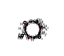 CC[C@H](C)[C@@H]1NC(=O)[C@H](CC(C)C)N(C)C(=O)C[C@@H](C)N(C)C(=O)[C@H](C2CCCCC2)N(C)C(=O)C2(CCC2)NC(=O)[C@@H]2CC(F)(F)CN2C(=O)[C@H](CCc2cc(F)c(C(F)(F)F)c(F)c2)NC(=O)CN(C)C(=O)[C@H](CC2CCCCC2)N(C)C(=O)CN(C)C(=O)CN(C)C1=O